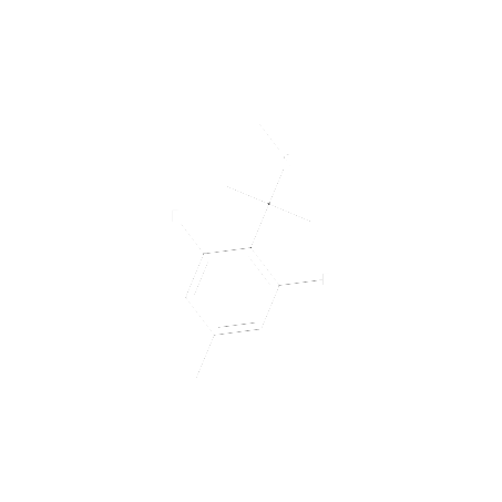 CSC(C)(C)c1c(F)cc(C)cc1F